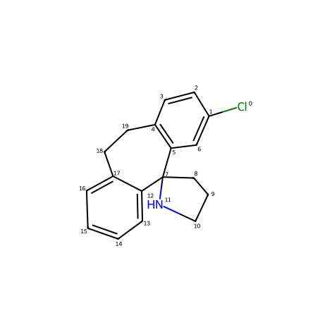 Clc1ccc2c(c1)C1(CCCN1)c1ccccc1CC2